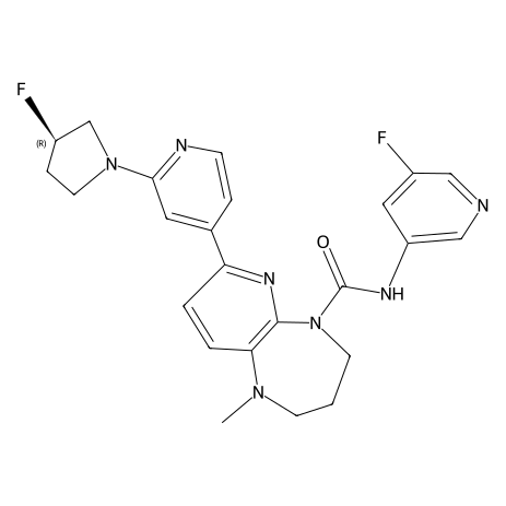 CN1CCCN(C(=O)Nc2cncc(F)c2)c2nc(-c3ccnc(N4CC[C@@H](F)C4)c3)ccc21